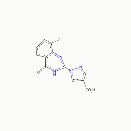 O=C(O)c1cnn(-c2nc3c(Cl)cccc3c(=O)[nH]2)c1